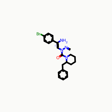 C=NN(/C=C(\N)c1ccc(Br)cc1)C(=O)N1CCCCC1Cc1ccccc1